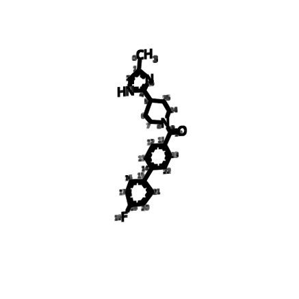 Cc1c[nH]c(C2CCN(C(=O)c3ccc(-c4ccc(F)cc4)cc3)CC2)n1